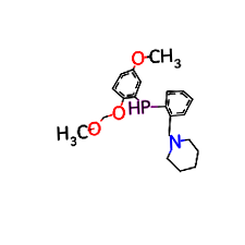 COCOc1ccc(OC)cc1Pc1ccccc1CN1CCCCC1